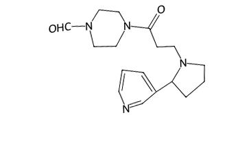 O=CN1CCN(C(=O)CCN2CCCC2c2cccnc2)CC1